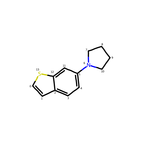 c1cc2ccc(N3CCCC3)cc2s1